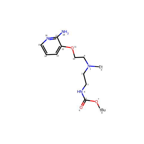 CCN(CCNC(=O)OC(C)(C)C)CCOc1cccnc1N